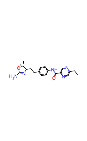 CCc1cnc(C(=O)Nc2ccc(CCC3N=C(N)O[C@H]3C)cc2)cn1